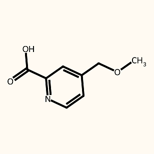 COCc1ccnc(C(=O)O)c1